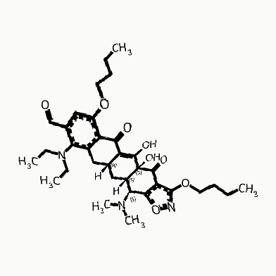 CCCCOc1cc(C=O)c(N(CC)CC)c2c1C(=O)C1=C(O)[C@]3(O)C(=O)c4c(OCCCC)noc4[C@@H](N(C)C)[C@@H]3C[C@@H]1C2